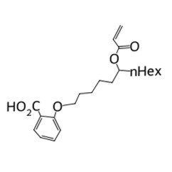 C=CC(=O)OC(CCCCCC)CCCCCOc1ccccc1C(=O)O